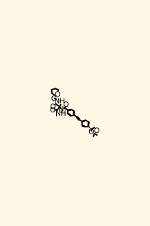 CNC(=O)C(C)(C(=O)NOC1CCCCO1)N(C)C(=O)c1ccc(C#Cc2ccc([C@H]3COC(C)(C)O3)cc2)cc1